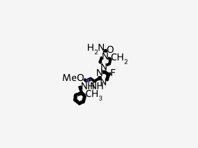 C=C1CN(c2nc(C(=N)/C=C(\NCc3ccccc3C)OC)ncc2F)CCN1C(N)=O